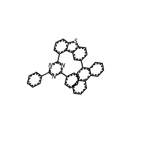 c1ccc(-c2nc(-c3ccccc3)nc(-c3cccc4sc5ccc(-c6cc7ccccc7c7ccccc67)cc5c34)n2)cc1